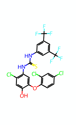 Oc1cc(Cl)c(NC(=S)Nc2cc(C(F)(F)F)cc(C(F)(F)F)c2)cc1Oc1ccc(Cl)cc1Cl